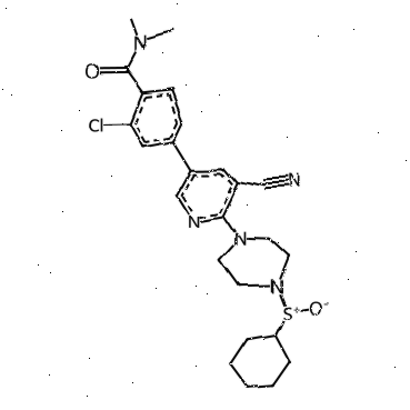 CN(C)C(=O)c1ccc(-c2cnc(N3CCN([S+]([O-])C4CCCCC4)CC3)c(C#N)c2)cc1Cl